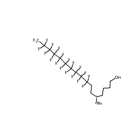 CCCCI(CCCCO)CCC(F)(F)C(F)(F)C(F)(F)C(F)(F)C(F)(F)C(F)(F)C(F)(F)C(F)(F)C(F)(F)C(F)(F)F